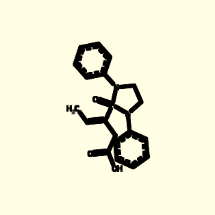 C/C=C(/CC(=O)O)P1(=O)N(c2ccccc2)CCN1c1ccccc1